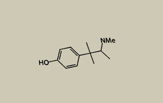 CNC(C)C(C)(C)c1ccc(O)cc1